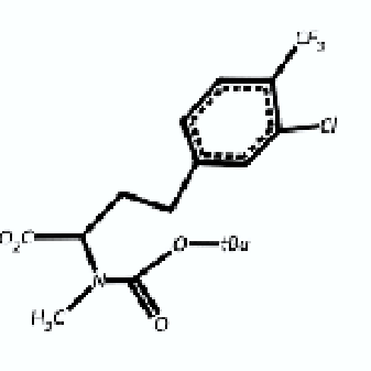 CN(C(=O)OC(C)(C)C)C(CCc1ccc(C(F)(F)F)c(Cl)c1)C(=O)O